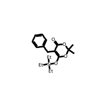 CC[Si](CC)(CC)OC1=C(Cc2ccccc2)C(=O)OC(C)(C)O1